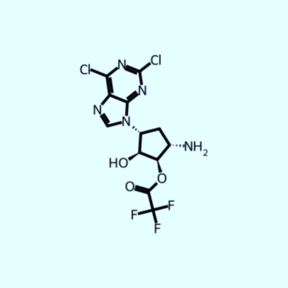 N[C@H]1C[C@@H](n2cnc3c(Cl)nc(Cl)nc32)[C@H](O)[C@@H]1OC(=O)C(F)(F)F